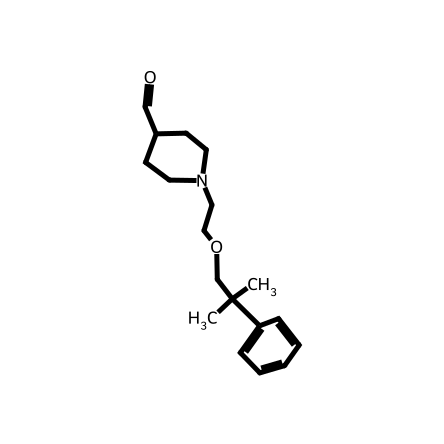 CC(C)(COCCN1CCC(C=O)CC1)c1ccccc1